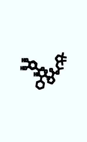 CC(CC1CCC(C)(C)C1(C)C)OC(=O)C1CCCN1C(=O)C(NC(=O)c1ccc(O)c(O)c1)C1CCCCC1